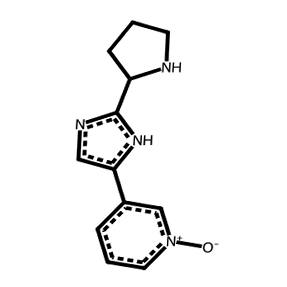 [O-][n+]1cccc(-c2cnc(C3CCCN3)[nH]2)c1